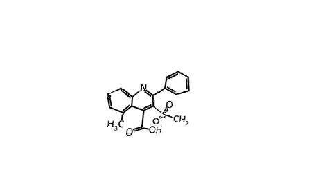 Cc1cccc2nc(-c3ccccc3)c(S(C)(=O)=O)c(C(=O)O)c12